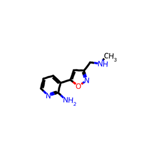 CNCc1cc(-c2cccnc2N)on1